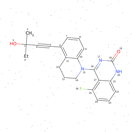 CCC(C)(O)C#Cc1cccc2c1CCCN2c1nc(=O)[nH]c2cccc(F)c12